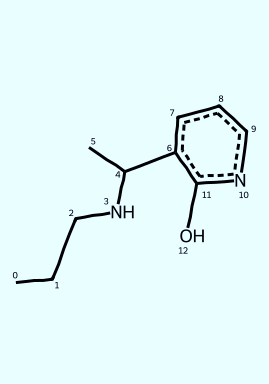 CCCNC(C)c1cccnc1O